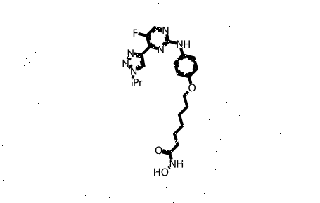 CC(C)n1cc(-c2nc(Nc3ccc(OCCCCCCC(=O)NO)cc3)ncc2F)nn1